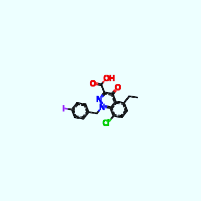 CCc1ccc(Cl)c2c1c(=O)c(C(=O)O)nn2Cc1ccc(I)cc1